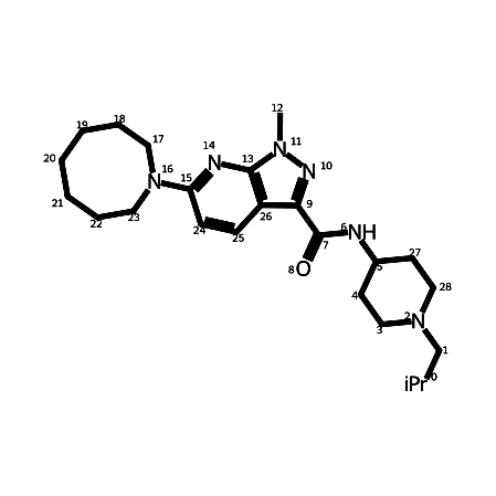 CC(C)CN1CCC(NC(=O)c2nn(C)c3nc(N4CCCCCCC4)ccc23)CC1